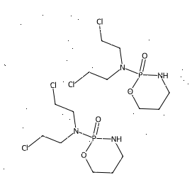 O=P1(N(CCCl)CCCl)NCCCO1.O=P1(N(CCCl)CCCl)NCCCO1